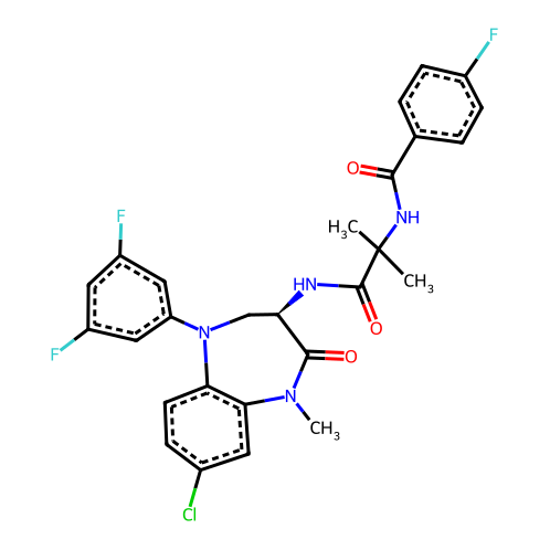 CN1C(=O)[C@H](NC(=O)C(C)(C)NC(=O)c2ccc(F)cc2)CN(c2cc(F)cc(F)c2)c2ccc(Cl)cc21